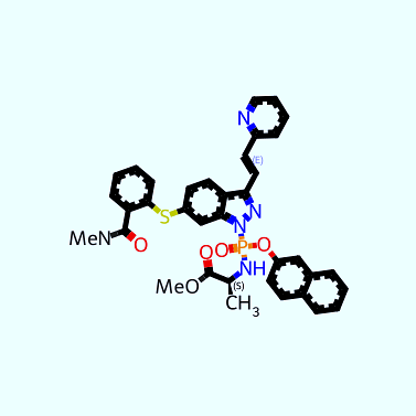 CNC(=O)c1ccccc1Sc1ccc2c(/C=C/c3ccccn3)nn(P(=O)(N[C@@H](C)C(=O)OC)Oc3ccc4ccccc4c3)c2c1